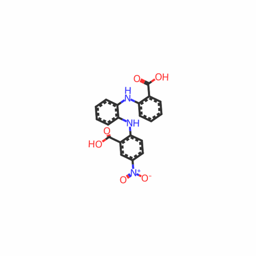 O=C(O)c1ccccc1Nc1ccccc1Nc1ccc([N+](=O)[O-])cc1C(=O)O